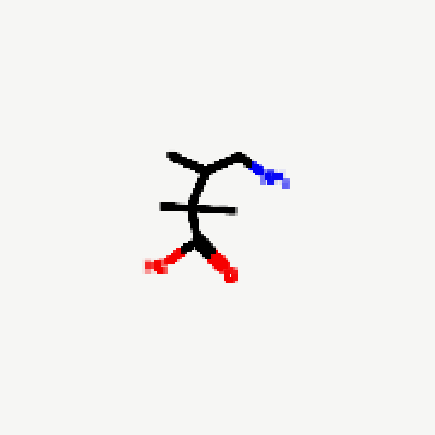 CC(CN)C(C)(C)C(=O)O